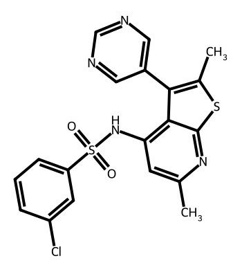 Cc1cc(NS(=O)(=O)c2cccc(Cl)c2)c2c(-c3cncnc3)c(C)sc2n1